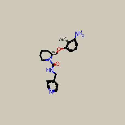 N#Cc1c(N)cccc1OC[C@H]1CCCCN1C(=O)NCc1ccncc1